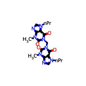 CCCn1cnc2c1c(=O)n(Cn1c(=O)c3c(ncn3CCC)n(C)c1=O)c(=O)n2C